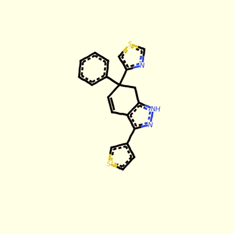 C1=CC(c2ccccc2)(c2cscn2)Cc2[nH]nc(-c3ccsc3)c21